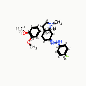 COc1ccc([C@@]23CC/C(=N/Nc4ccc(F)cc4)C[C@@H]2N(C)CC3)cc1OC